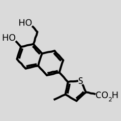 Cc1cc(C(=O)O)sc1-c1ccc2c(CO)c(O)ccc2c1